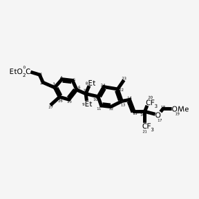 CCOC(=O)CCc1ccc(C(CC)(CC)c2ccc(C=CC(OCOC)(C(F)(F)F)C(F)(F)F)c(C)c2)cc1C